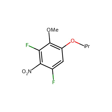 COc1c(OC(C)C)cc(F)c([N+](=O)[O-])c1F